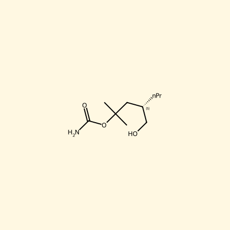 CCC[C@H](CO)CC(C)(C)OC(N)=O